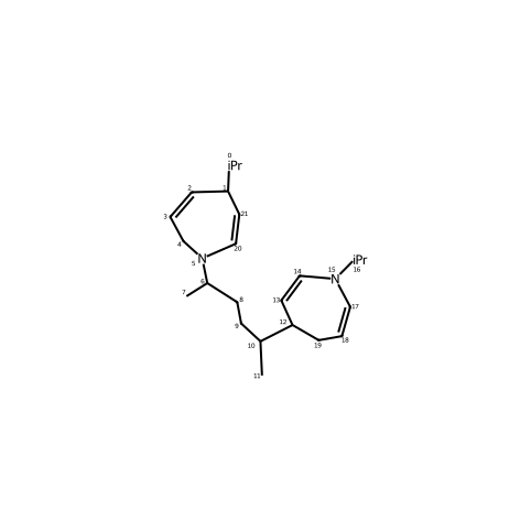 CC(C)C1C=CCN(C(C)CCC(C)C2C=CN(C(C)C)C=CC2)C=C1